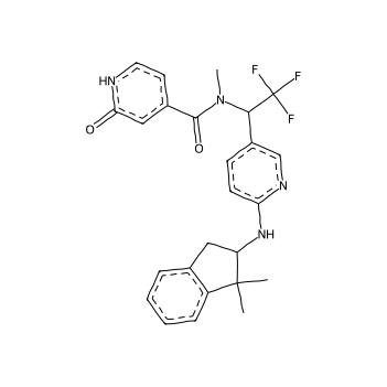 CN(C(=O)c1cc[nH]c(=O)c1)C(c1ccc(NC2Cc3ccccc3C2(C)C)nc1)C(F)(F)F